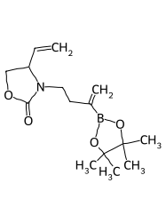 C=CC1COC(=O)N1CCC(=C)B1OC(C)(C)C(C)(C)O1